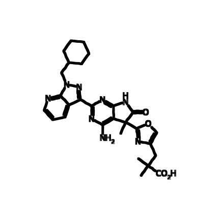 CC(C)(Cc1coc(C2(C)C(=O)Nc3nc(-c4nn(CC5CCCCC5)c5ncccc45)nc(N)c32)n1)C(=O)O